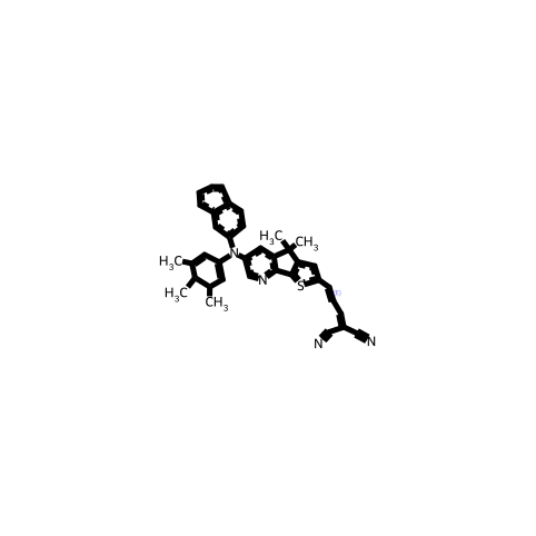 CC1=CC(N(c2cnc3c(c2)C(C)(C)c2cc(/C=C/C=C(C#N)C#N)sc2-3)c2ccc3ccccc3c2)=CC(C)C1C